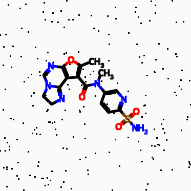 Cc1oc2c(c1C(=O)N(C)c1ccc(S(N)(=O)=O)nc1)C1=NCCN1C=N2